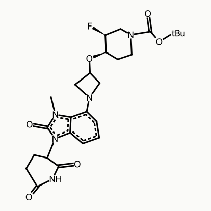 Cn1c(=O)n(C2CCC(=O)NC2=O)c2cccc(N3CC(O[C@@H]4CCN(C(=O)OC(C)(C)C)C[C@@H]4F)C3)c21